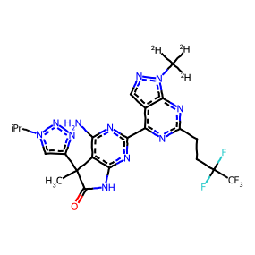 [2H]C([2H])([2H])n1ncc2c(-c3nc(N)c4c(n3)NC(=O)C4(C)c3cn(C(C)C)nn3)nc(CCC(F)(F)C(F)(F)F)nc21